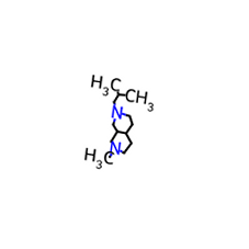 CC(C)CN1CCC2CCN(C)CC2C1